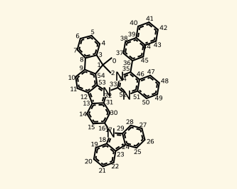 CC1(C)c2ccccc2-c2ccc3c4ccc(-n5c6ccccc6c6ccccc65)cc4n(-c4nc(-c5ccc6ccccc6c5)c5ccccc5n4)c3c21